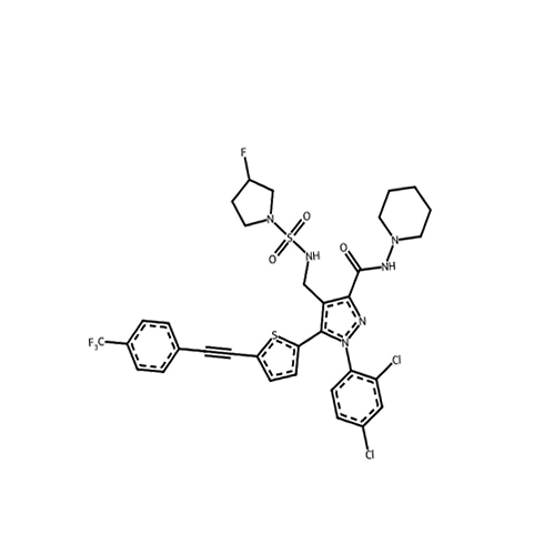 O=C(NN1CCCCC1)c1nn(-c2ccc(Cl)cc2Cl)c(-c2ccc(C#Cc3ccc(C(F)(F)F)cc3)s2)c1CNS(=O)(=O)N1CCC(F)C1